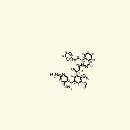 COc1cc(Cc2cnc(N)nc2N)cc(C(=O)/C=C/N2N=Cc3ccccc3C2CCC2OCCO2)c1OC